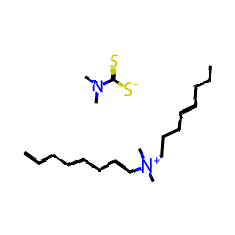 CCCCCCCC[N+](C)(C)CCCCCCCC.CN(C)C(=S)[S-]